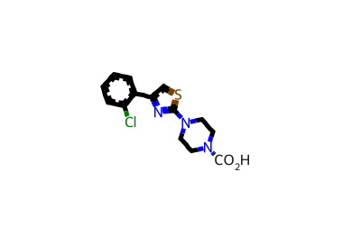 O=C(O)N1CCN(c2nc(-c3ccccc3Cl)cs2)CC1